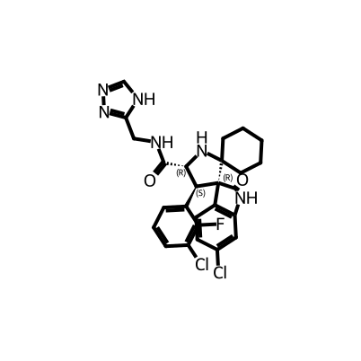 O=C(NCc1nnc[nH]1)[C@@H]1NC2(CCCCC2)[C@@]2(C(=O)Nc3cc(Cl)ccc32)[C@H]1c1cccc(Cl)c1F